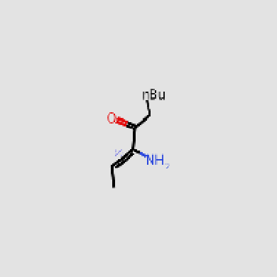 C/C=C(\N)C(=O)CCCCC